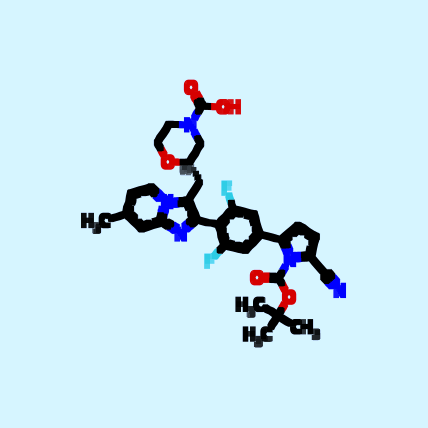 Cc1ccn2c(C[C@H]3CN(C(=O)O)CCO3)c(-c3c(F)cc(-c4ccc(C#N)n4C(=O)OC(C)(C)C)cc3F)nc2c1